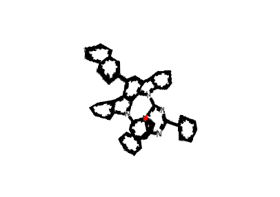 c1ccc(-c2nc(-c3ccccc3)nc(-n3c4ccccc4c4cc(-c5ccc6ccccc6c5)c5c6ccccc6n(-c6ccccc6)c5c43)n2)cc1